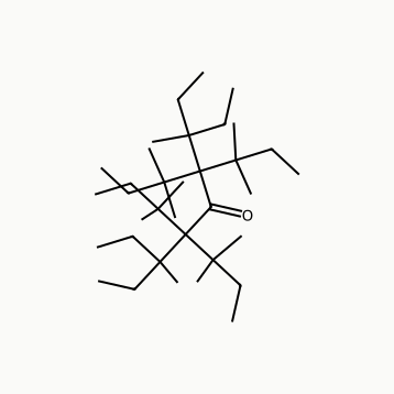 CCC(C)(C)C(C(=O)C(C(C)(C)CC)(C(C)(C)CC)C(C)(CC)CC)(C(C)(C)CC)C(C)(CC)CC